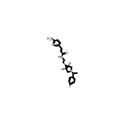 CC(c1ccc(F)cc1)N1C[C@@H]2[C@@H](CCNC(=O)/C=C/c3ccc(N)nc3)[C@@H]2C1